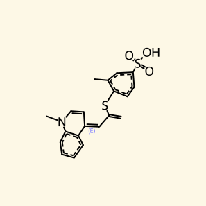 C=C(/C=C1\C=CN(C)c2ccccc21)Sc1ccc(S(=O)(=O)O)cc1C